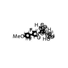 COc1ccc(-c2cc(=O)n(CCC(C)(C(=O)NOP(=O)(O)OI)S(C)(=O)=O)cc2F)c(F)c1